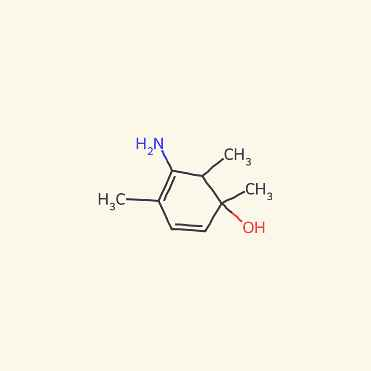 CC1=C(N)C(C)C(C)(O)C=C1